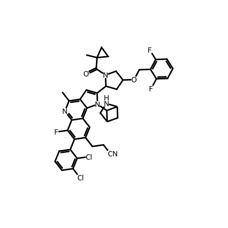 Cc1nc2c(F)c(-c3cccc(Cl)c3Cl)c(CCC#N)cc2c2c1cc(C1CC(OCc3c(F)cccc3F)CN1C(=O)C1(C)CC1)n2C1C2CNC1C2